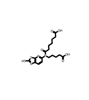 O=C(O)CCCCCC(=O)N(CCCCC(=O)O)c1ccc2nc(S)sc2n1